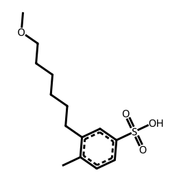 COCCCCCCc1cc(S(=O)(=O)O)ccc1C